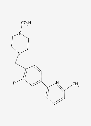 Cc1cccc(-c2ccc(CN3CCN(C(=O)O)CC3)c(F)c2)n1